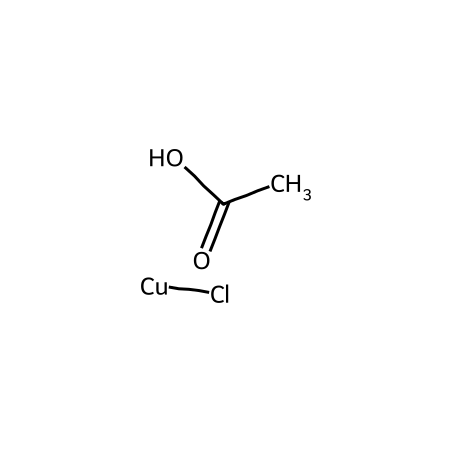 CC(=O)O.[Cl][Cu]